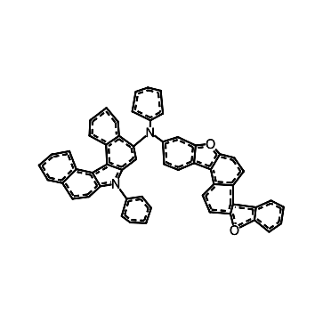 c1ccc(N(c2ccc3c(c2)oc2ccc4c(ccc5oc6ccccc6c54)c23)c2cc3c(c4ccccc24)c2c4ccccc4ccc2n3-c2ccccc2)cc1